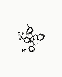 Cc1ccc(C(Cc2ccccc2)(NC(=O)Nc2cccc(C#N)c2)c2cccc(C(F)(F)F)c2)nc1